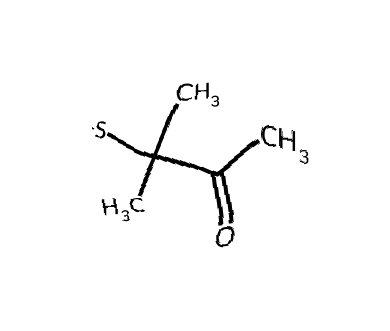 CC(=O)C(C)(C)[S]